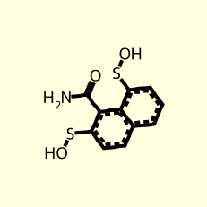 NC(=O)c1c(SO)ccc2cccc(SO)c12